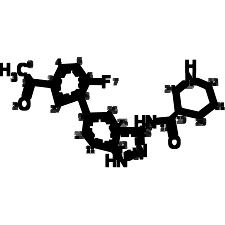 CC(=O)c1ccc(F)c(-c2ccc3[nH]nc(NC(=O)[C@@H]4CCCNC4)c3c2)c1